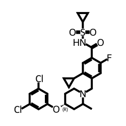 CC1C[C@H](Oc2cc(Cl)cc(Cl)c2)CCN1Cc1cc(F)c(C(=O)NS(=O)(=O)C2CC2)cc1C1CC1